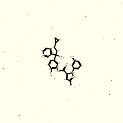 CCc1cccc(-n2nc(C)cc2C(=O)Nc2cc(C(N)(CCC3CC3)c3cccnc3)ccc2F)c1